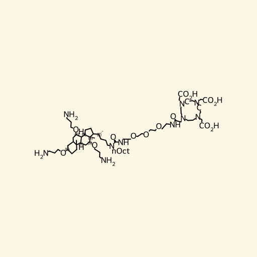 CCCCCCCCN(CCC[C@@H](C)C1CC[C@H]2C3[C@H](OCCCN)CC4C[C@H](OCCCN)CCC4(C)[C@H]3C[C@H](OCCCN)[C@@]12C)C(=O)NCCOCCOCCOCCNC(=O)CN1CCN(CC(=O)O)CCN(CC(=O)O)CCN(CC(=O)O)CC1